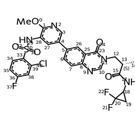 COc1ncc(-c2ccc3ncn(C[C@H](C)C(=O)NC4CC4(F)F)c(=O)c3c2)cc1NS(=O)(=O)c1ccc(F)cc1Cl